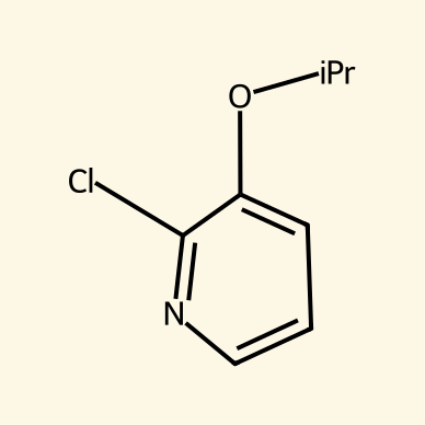 CC(C)Oc1cccnc1Cl